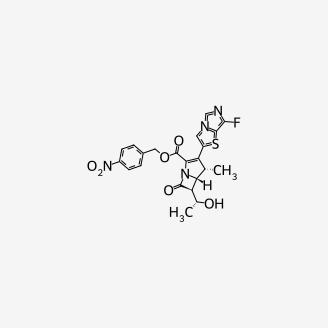 C[C@@H](O)[C@H]1C(=O)N2C(C(=O)OCc3ccc([N+](=O)[O-])cc3)=C(c3cn4cnc(F)c4s3)[C@H](C)[C@H]12